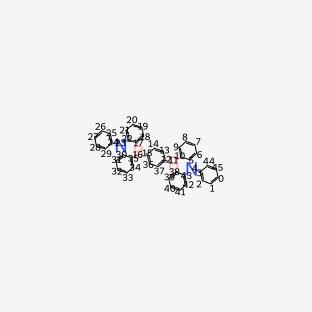 c1ccc(N2c3ccccc3B(c3ccc(B4c5ccccc5N(c5ccccc5)c5ccccc54)cc3)c3ccccc32)cc1